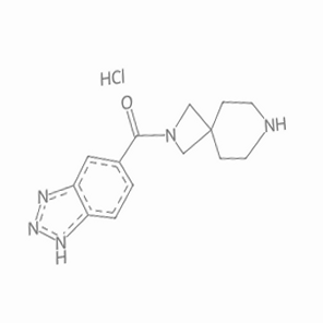 Cl.O=C(c1ccc2[nH]nnc2c1)N1CC2(CCNCC2)C1